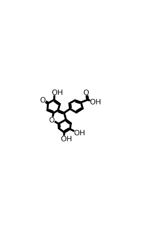 O=C(O)c1ccc(-c2c3cc(O)c(=O)cc-3oc3cc(O)c(O)cc23)cc1